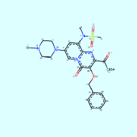 COC(=O)c1nc2c(N(C)S(C)(=O)=O)cc(N3CCN(C(C)C)CC3)cn2c(=O)c1OCc1ccccc1